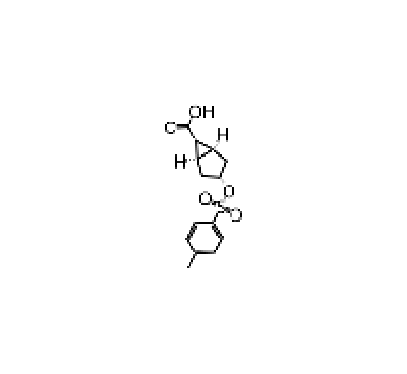 Cc1ccc(S(=O)(=O)O[C@@H]2C[C@@H]3[C@H](C2)[C@@H]3C(=O)O)cc1